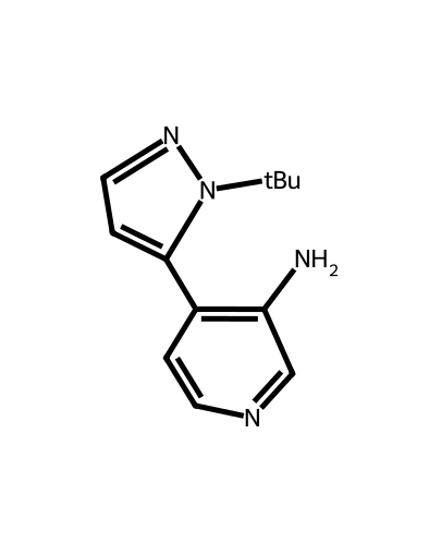 CC(C)(C)n1nccc1-c1ccncc1N